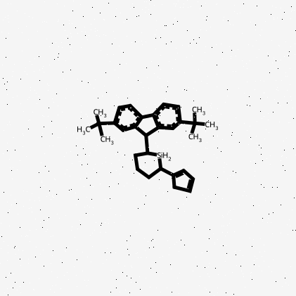 CC(C)(C)c1ccc2c(c1)C(C1CCCC(C3=CC=CC3)[SiH2]1)c1cc(C(C)(C)C)ccc1-2